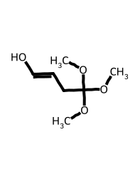 COC(CC=CO)(OC)OC